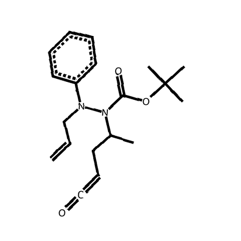 C=CCN(c1ccccc1)N(C(=O)OC(C)(C)C)C(C)CC=C=O